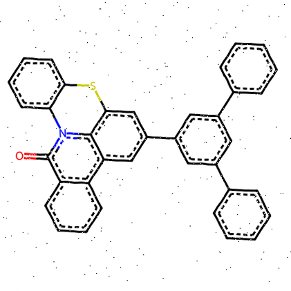 O=c1c2ccccc2c2cc(-c3cc(-c4ccccc4)cc(-c4ccccc4)c3)cc3c2n1-c1ccccc1S3